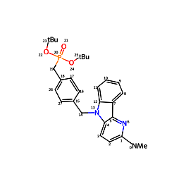 CNc1ccc2c(n1)c1ccccc1n2Cc1ccc(CP(=O)(OC(C)(C)C)OC(C)(C)C)cc1